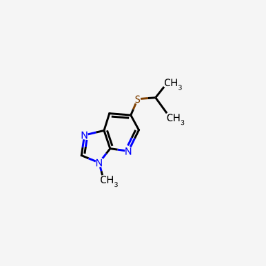 CC(C)Sc1cnc2c(c1)ncn2C